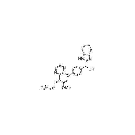 C=C(OC)/C(=C\C=C/N)c1nccnc1Oc1ccc([C@H](O)c2nc3ccccc3[nH]2)cc1